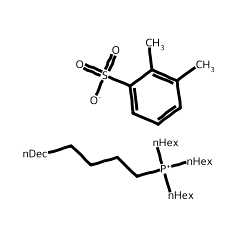 CCCCCCCCCCCCCC[P+](CCCCCC)(CCCCCC)CCCCCC.Cc1cccc(S(=O)(=O)[O-])c1C